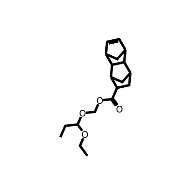 CCOC(CC)OCOC(=O)C1CC2CC1C1C3C=CC(C3)C21